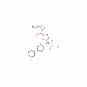 CC1CCN1C(=O)N1CC[C@H](NS(C)(=O)=O)[C@@H]1Cc1cccc(-c2cccc(F)c2)c1